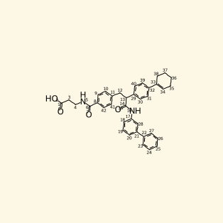 O=C(O)CCNC(=O)c1ccc(CC(C(=O)Nc2cccc(-c3ccccc3)c2)c2ccc(C3=CCCCC3)cc2)cc1